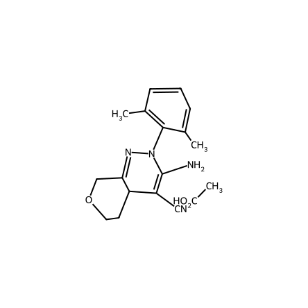 CC(=O)O.Cc1cccc(C)c1N1N=C2COCCC2C(C#N)=C1N